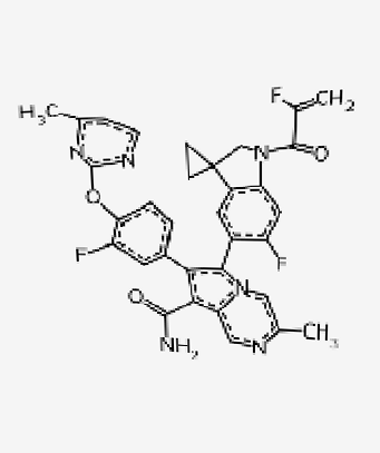 C=C(F)C(=O)N1CC2(CC2)c2cc(-c3c(-c4ccc(Oc5nccc(C)n5)c(F)c4)c(C(N)=O)c4cnc(C)cn34)c(F)cc21